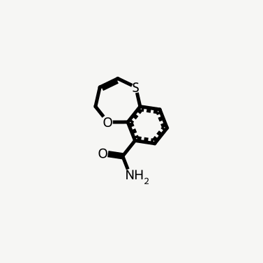 NC(=O)c1cccc2c1OCC=CS2